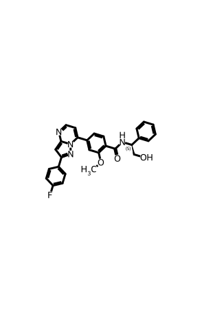 COc1cc(-c2ccnc3cc(-c4ccc(F)cc4)nn23)ccc1C(=O)N[C@H](CO)c1ccccc1